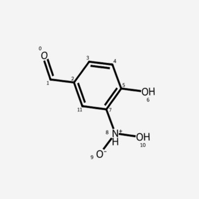 O=Cc1ccc(O)c([NH+]([O-])O)c1